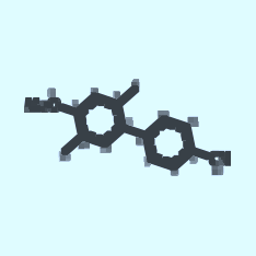 COc1cc(C)c(-c2ccc(C#N)cc2)cc1C